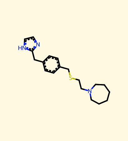 c1c[nH]c(Cc2ccc(CSCCN3CCCCCC3)cc2)n1